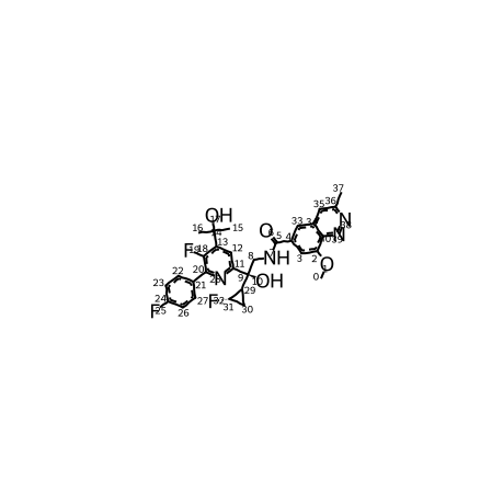 COc1cc(C(=O)NC[C@@](O)(c2cc(C(C)(C)O)c(F)c(-c3ccc(F)cc3)n2)C2C[C@@H]2F)cc2cc(C)nnc12